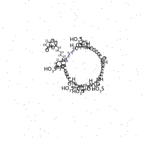 CC1(C)C/C=C/C=C/C=C2\N(CCCCCC(=O)ON3C(=O)CCC3=O)c3ccc(S(=O)(=O)O)cc3C2(C)CCCCCC(=O)NC(CS(=O)(=O)O)C(=O)NC(CS(=O)(=O)O)C(=O)NC(CS(=O)(=O)O)C(=O)NCCCCCNC(=O)CCCCCNc2ccc(S(=O)(=O)O)cc21